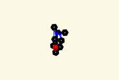 c1ccc(-c2cc(-c3ccccc3)nc(-c3cccc([Si](c4ccccc4)(c4ccccc4)c4cccc5c4oc4ccccc45)c3)n2)cc1